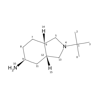 CC(C)(C)N1C[C@H]2CC[C@H](N)C[C@H]2C1